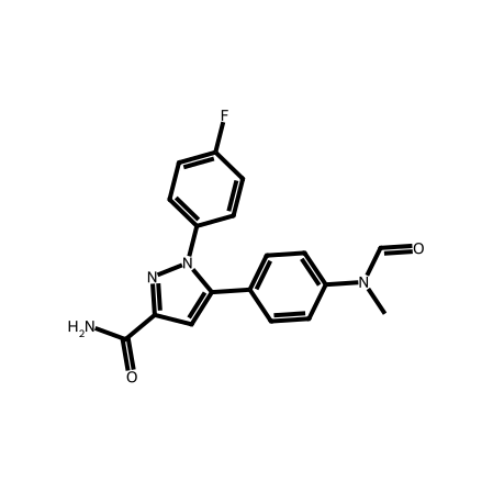 CN(C=O)c1ccc(-c2cc(C(N)=O)nn2-c2ccc(F)cc2)cc1